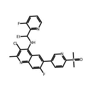 CCC(Nc1c(Cl)c(C)nc2cc(F)c(-c3ccc(P(C)(C)=O)nc3)cc12)c1ncccc1F